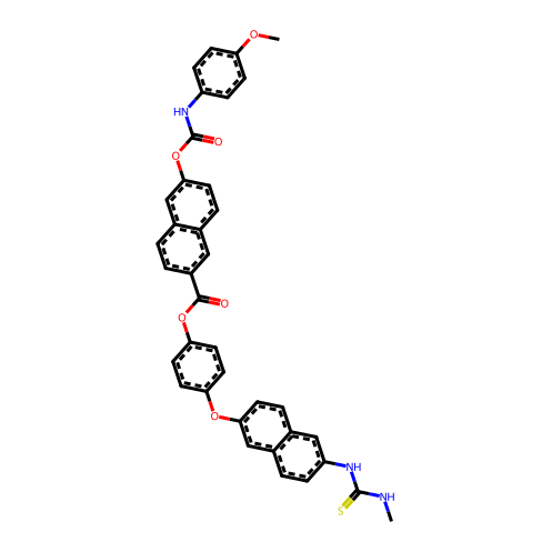 CNC(=S)Nc1ccc2cc(Oc3ccc(OC(=O)c4ccc5cc(OC(=O)Nc6ccc(OC)cc6)ccc5c4)cc3)ccc2c1